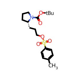 Cc1ccc(S(=O)(=O)OCCC[C@@H]2CCCN2C(=O)OC(C)(C)C)cc1